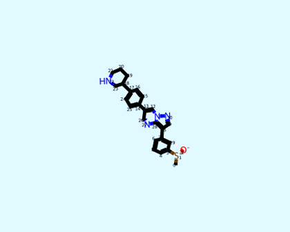 C[S+]([O-])c1cccc(-c2cnn3cc(-c4ccc(C5CCCNC5)cc4)cnc23)c1